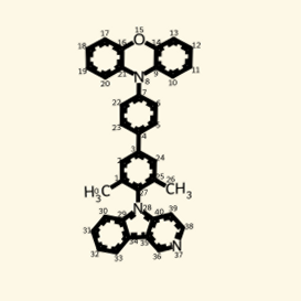 Cc1cc(-c2ccc(N3c4ccccc4Oc4ccccc43)cc2)cc(C)c1-n1c2ccccc2c2cnccc21